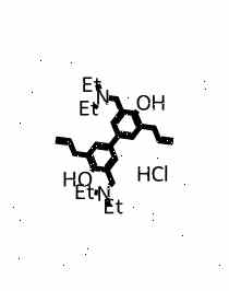 C=CCc1cc(-c2cc(CC=C)c(O)c(CN(CC)CC)c2)cc(CN(CC)CC)c1O.Cl